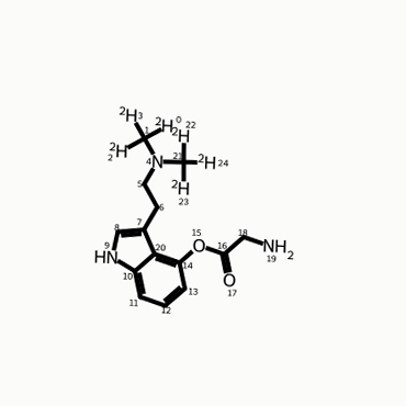 [2H]C([2H])([2H])N(CCc1c[nH]c2cccc(OC(=O)CN)c12)C([2H])([2H])[2H]